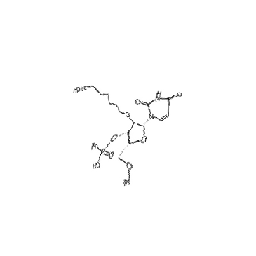 CCCCCCCCCCCCCCCCOC1[C@@H](OP(=O)(O)C(C)C)[C@@H](COC(C)C)O[C@H]1n1ccc(=O)[nH]c1=O